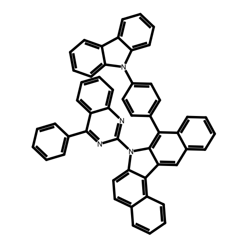 c1ccc(-c2nc(-n3c4ccc5ccccc5c4c4cc5ccccc5c(-c5ccc(-n6c7ccccc7c7ccccc76)cc5)c43)nc3ccccc23)cc1